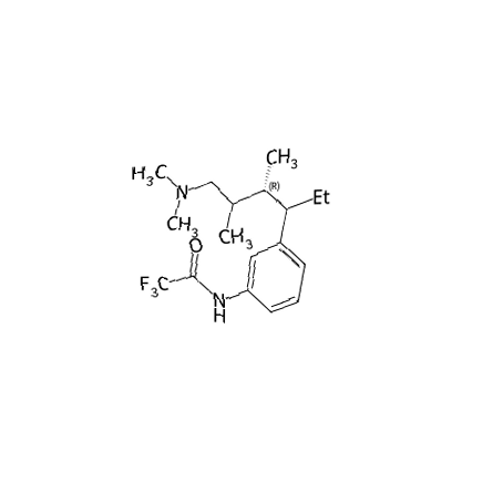 CCC(c1cccc(NC(=O)C(F)(F)F)c1)[C@@H](C)C(C)CN(C)C